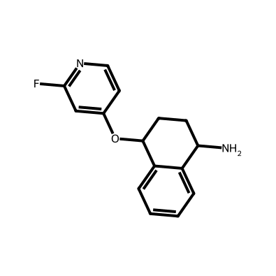 NC1CCC(Oc2ccnc(F)c2)c2ccccc21